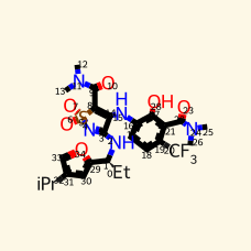 CC[C@@H](NC1=NS(=O)(=O)C(C(=O)N(C)C)=C1Nc1ccc(C(F)(F)F)c(C(=O)N(C)C)c1O)c1cc(C(C)C)co1